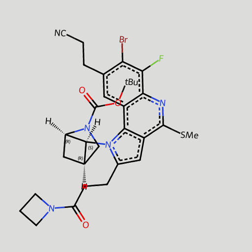 CSc1nc2c(F)c(Br)c(CCC#N)cc2c2c1cc(CCC(=O)N1CCC1)n2[C@H]1[C@@H]2C[C@H]1N(C(=O)OC(C)(C)C)C2